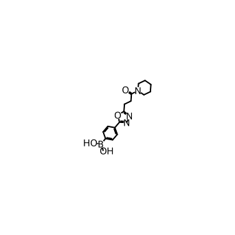 O=C(CCc1nnc(-c2ccc(B(O)O)cc2)o1)N1CCCCC1